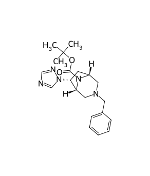 CC(C)(C)OC(=O)N1[C@@H]2C[C@@H](n3cncn3)[C@H]1CN(Cc1ccccc1)C2